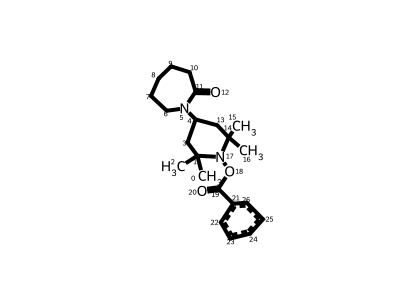 CC1(C)CC(N2CCCCCC2=O)CC(C)(C)N1OC(=O)c1ccccc1